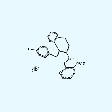 Br.COc1ccccc1CNC1CCc2ccccc2C1Cc1ccc(F)cc1